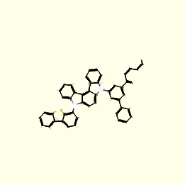 C=C(/C=C\C=C/C)c1cc(-c2ccccc2)cc(-n2c3ccccc3c3c4c5ccccc5n(-c5cccc6c5sc5ccccc56)c4ccc32)c1